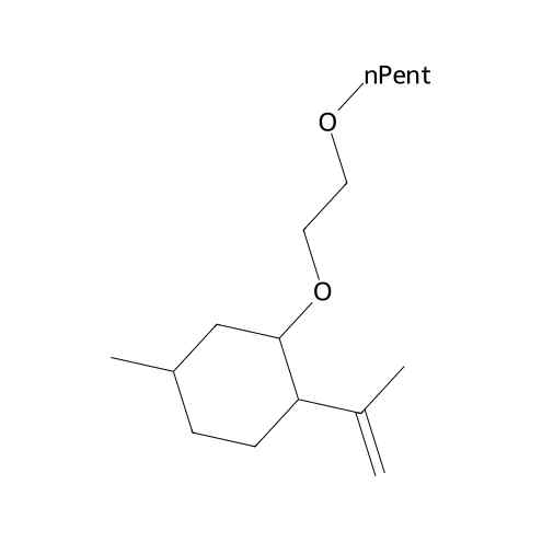 C=C(C)C1CCC(C)CC1OCCOCCC[CH]C